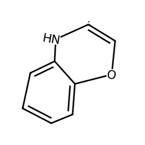 [C]1=COc2ccccc2N1